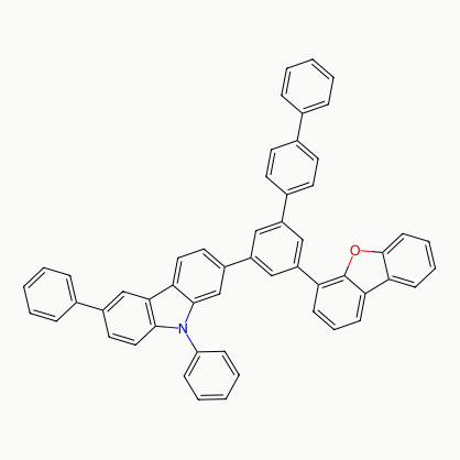 c1ccc(-c2ccc(-c3cc(-c4ccc5c6cc(-c7ccccc7)ccc6n(-c6ccccc6)c5c4)cc(-c4cccc5c4oc4ccccc45)c3)cc2)cc1